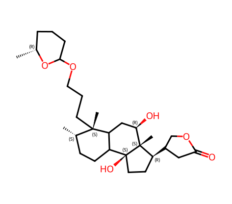 C[C@@H]1CCCC(OCCC[C@]2(C)C3C[C@@H](O)[C@]4(C)[C@@H](C5COC(=O)C5)CC[C@]4(O)C3CC[C@@H]2C)O1